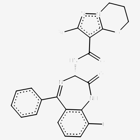 O=C(N[C@H]1N=C(c2ccccc2)c2cccc(F)c2NC1=O)c1c(Br)nn2c1OCCC2